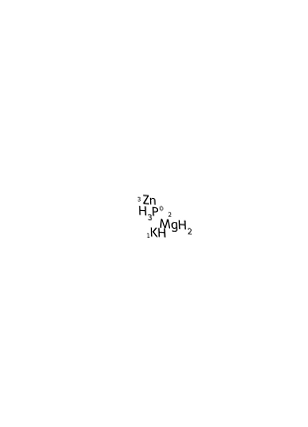 P.[KH].[MgH2].[Zn]